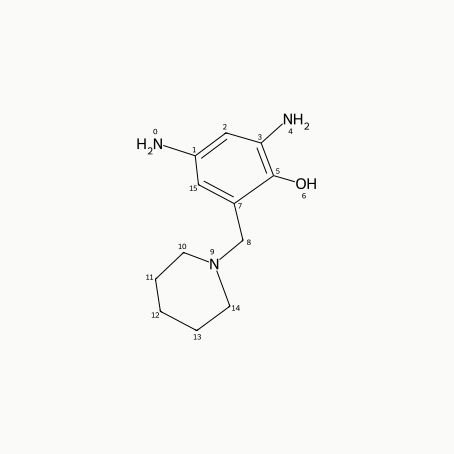 Nc1cc(N)c(O)c(CN2CCCCC2)c1